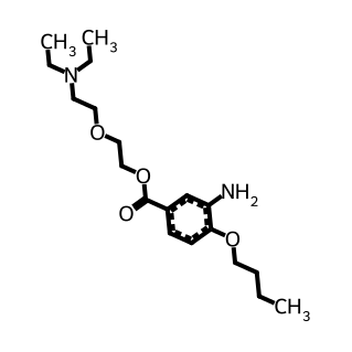 CCCCOc1ccc(C(=O)OCCOCCN(CC)CC)cc1N